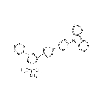 CC(C)(C)c1cc(-c2ccccc2)cc(-c2ccc(-c3ccc(-n4c5ccccc5c5ccccc54)cc3)cc2)c1